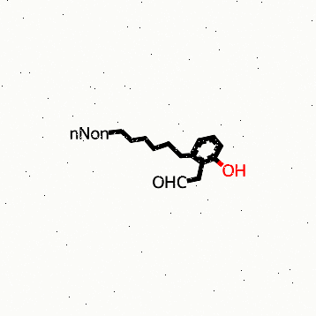 CCCCCCCCCCCCCCCc1cccc(O)c1CC=O